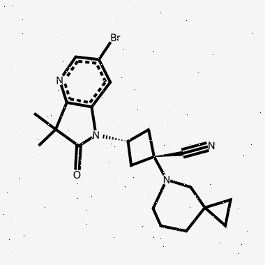 CC1(C)C(=O)N([C@H]2C[C@@](C#N)(N3CCCC4(CC4)C3)C2)c2cc(Br)cnc21